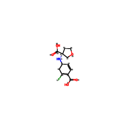 O=C(O)C1=C(F)CC(N[C@]2(C(=O)O)CCOC2)C=C1